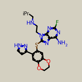 CC(C)CNCCn1c(Sc2cc3c(cc2-c2cc[nH]n2)OCCO3)nc2c(N)nc(F)nc21